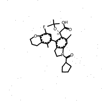 Cc1cc2c(c(-c3cc(F)c4c(c3C)CCCO4)c1[C@H](OC(C)(C)C)C(=O)O)CCN2C(=O)C1CCCC1